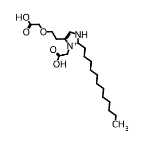 CCCCCCCCCCCCc1[nH]cc(CCOCC(=O)O)[n+]1CC(=O)O